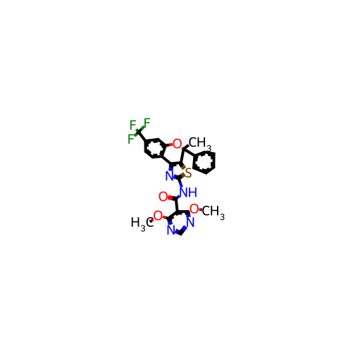 COc1ncnc(OC)c1C(=O)Nc1nc2c(s1)C(C)(c1ccccc1)Oc1cc(C(F)(F)F)ccc1-2